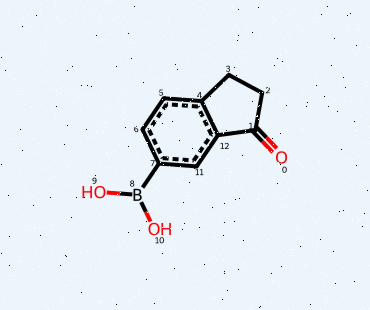 O=C1CCc2ccc(B(O)O)cc21